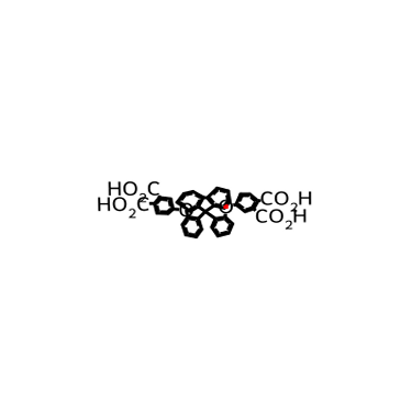 O=C(O)c1ccc(Oc2ccccc2C2(c3ccccc3Oc3ccc(C(=O)O)c(C(=O)O)c3)c3ccccc3-c3ccccc32)cc1C(=O)O